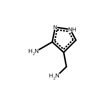 NCc1c[nH]nc1N